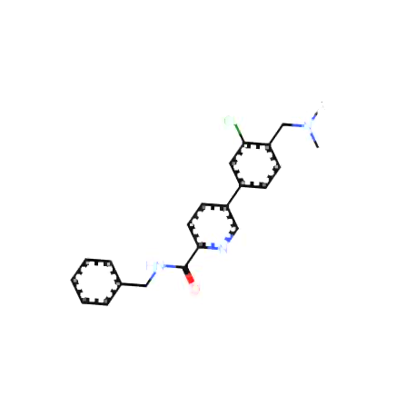 CC(=O)N(C)Cc1ccc(-c2ccc(C(=O)NCc3ccccc3)nc2)cc1Cl